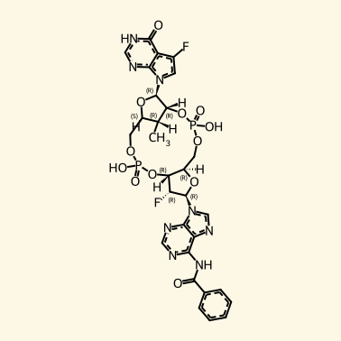 C[C@H]1[C@H]2OP(=O)(O)OC[C@H]3O[C@@H](n4cnc5c(NC(=O)c6ccccc6)ncnc54)[C@H](F)[C@@H]3OP(=O)(O)OC[C@H]1O[C@H]2n1cc(F)c2c(=O)[nH]cnc21